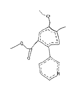 COC(=O)c1cc(OC)c(C)cc1-c1cccnc1